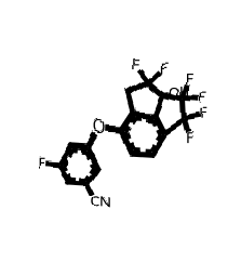 N#Cc1cc(F)cc(Oc2ccc3c4c2CC(F)(F)C4(O)C(F)(F)C3(F)F)c1